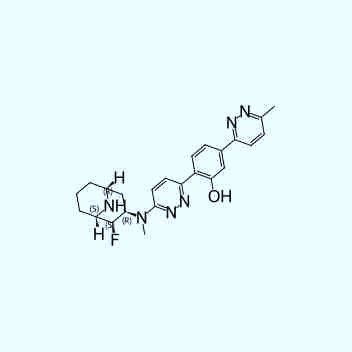 Cc1ccc(-c2ccc(-c3ccc(N(C)[C@@H]4C[C@H]5CCC[C@H](N5)[C@@H]4F)nn3)c(O)c2)nn1